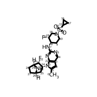 Cc1cc2cnc(N[C@@H]3CCN(S(=O)(=O)C4CC4)C[C@H]3F)nc2n1[C@@H]1C[C@H]2CC[C@H](N2)[C@@H]1F